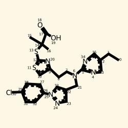 CCc1cnc(N(CCc2csc(SC(C)(C)C(=O)O)n2)Cc2cnn(-c3ccc(Cl)cc3)c2)nc1